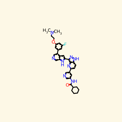 CN(C)CCOc1cc(F)cc(-c2cncc3[nH]c(-c4n[nH]c5ccc(-c6cncc(NC(=O)C7CCCCC7)c6)nc45)cc23)c1